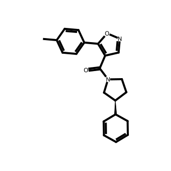 Cc1ccc(-c2oncc2C(=O)N2CC[C@@H](C3C=CC=CC3)C2)cc1